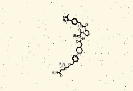 Cc1ncsc1-c1ccc(CNC(=O)[C@@H]2CCCN2C(=O)[C@@H](NC(=O)CC2CCN(c3ccc(COC[C@@H](N)CCC(N)=O)cc3)CC2)C(C)(C)C)cc1